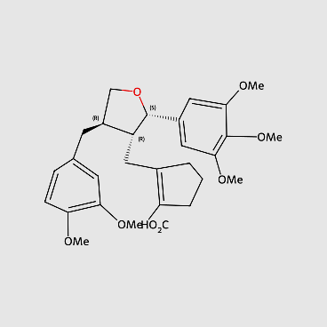 COc1ccc(C[C@H]2CO[C@H](c3cc(OC)c(OC)c(OC)c3)[C@@H]2CC2=C(C(=O)O)CCC2)cc1OC